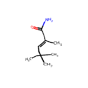 C/C(=C\C(C)(C)C)C(N)=O